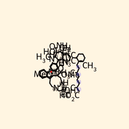 CC1=C(/C=C/C(C)=C/C=C/C(C)=C/C(=O)O)C(C)(C)CCC1.CC[C@]1(O)C[C@H]2C[N@](CCc3c([nH]c4ccccc34)[C@@](C(=O)OC)(c3cc4c(cc3OC)N(C)[C@H]3[C@@](O)(C(N)=O)[C@H](O)[C@]5(CC)C=CCN6CC[C@]43[C@@H]65)C2)C1